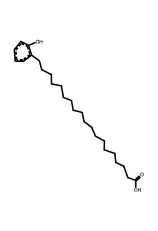 O=C(O)CCCCCCCCCCCCCCCCCCc1ccccc1O